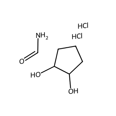 Cl.Cl.NC=O.OC1CCCC1O